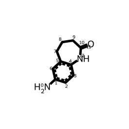 Nc1ccc2c(c1)CCCC(=O)N2